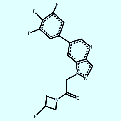 O=C(Cn1ncc2ncc(-c3cc(F)c(F)c(F)c3)cc21)N1CC(F)C1